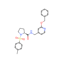 Cc1ccc(S(=O)(=O)N2CCC[C@H]2C(=O)NCc2ccnc(OCc3ccccc3)c2)cc1